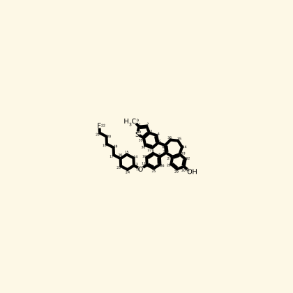 Cc1cc2cc(C3=C(c4ccc(OC5CCC(CCCCCF)CC5)cc4)c4ccc(O)cc4CCC3)ccc2s1